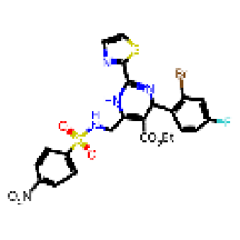 CCOC(=O)C1=C(CNS(=O)(=O)c2ccc([N+](=O)[O-])cc2)NC(c2nccs2)=NC1c1ccc(F)cc1Br